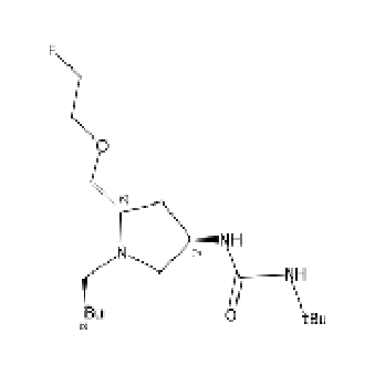 CC[C@H](C)CN1C[C@H](NC(=O)NC(C)(C)C)C[C@H]1COCCF